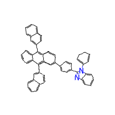 C1=CC(n2c(-c3ccc(-c4ccc5c(-c6ccc7ccccc7c6)c6ccccc6c(-c6ccc7ccccc7c6)c5c4)cc3)nc3ccccc32)=CCC1